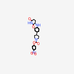 O=C1CCC(Nc2ccc(C3CCN(C(=O)Oc4ccc([N+](=O)[O-])cc4)CC3)cc2)C(=O)N1